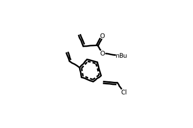 C=CC(=O)OCCCC.C=CCl.C=Cc1ccccc1